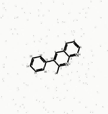 Cc1nc2ncccc2cc1-c1cc[c]cc1